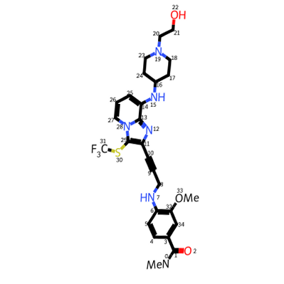 CNC(=O)c1ccc(NCC#Cc2nc3c(NC4CCN(CCO)CC4)cccn3c2SC(F)(F)F)c(OC)c1